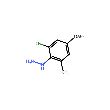 COc1cc(C)c(NN)c(Cl)c1